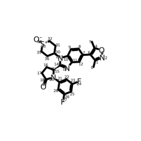 Cc1noc(C)c1-c1ccc2c(c1)nc([C@@H]1CCC(=O)N1c1cc(F)cc(F)c1)n2C1CC[S+]([O-])CC1